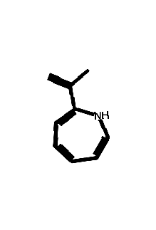 C=C(C)C1=CC=CC=CN1